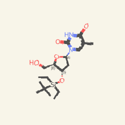 CC[Si](CC)(O[C@H]1C[C@H](n2cc(C)c(=O)[nH]c2=O)O[C@@H]1CO)C(C)(C)C